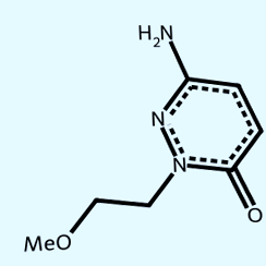 COCCn1nc(N)ccc1=O